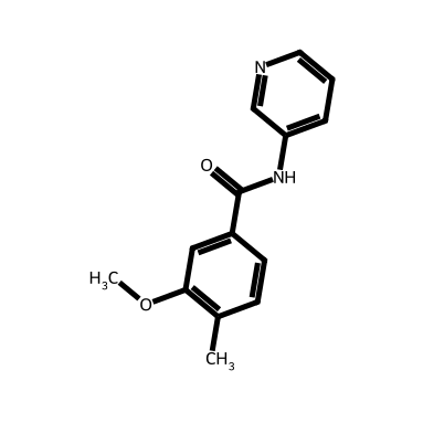 COc1cc(C(=O)Nc2cccnc2)ccc1C